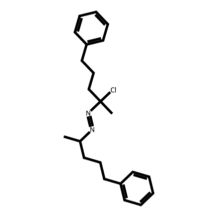 CC(CCCc1ccccc1)/N=N/C(C)(Cl)CCCc1ccccc1